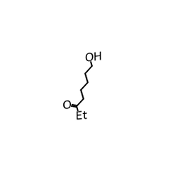 CCC(=O)CCCCCO